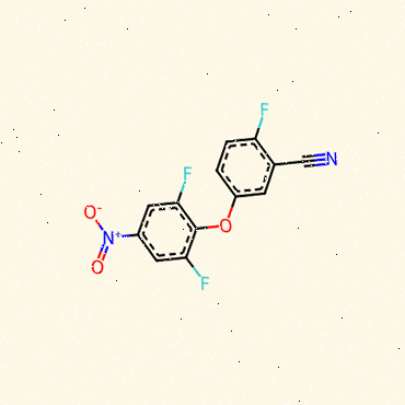 N#Cc1cc(Oc2c(F)cc([N+](=O)[O-])cc2F)ccc1F